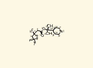 CC(C)(OC(=O)CC(F)(F)CC(F)(F)F)C1CCNCC1